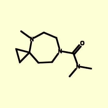 CN(C)C(=O)N1CCN(C)C2(CC1)CC2